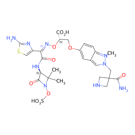 C[n+]1c2ccc(OC[C@H](O/N=C(\C(=O)N[C@@H]3C(=O)N(OS(=O)(=O)O)C3(C)C)c3csc(N)n3)C(=O)O)cc2cn1CC1(C(N)=O)CNC1